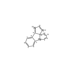 C1=CN2c3ccccc3C3=NC=NC32C=C1